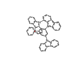 c1ccc(-c2cc(-n3c4ccccc4c4ccccc43)cc(-n3c4ccccc4c4cccc(-n5c6ccccc6c6ccccc65)c43)c2)cc1